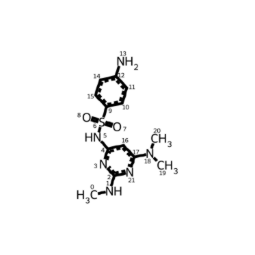 CNc1nc(NS(=O)(=O)c2ccc(N)cc2)cc(N(C)C)n1